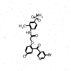 Cc1cc(S(N)(=O)=O)ccc1NC(=O)COc1ccc(Cl)cc1C(=O)c1cncc(Br)c1